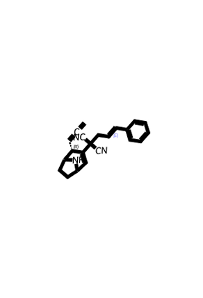 C=C=C[C@@H]1C(C(C#N)(C#N)C/C=C/c2ccccc2)=CC2CCC1N2